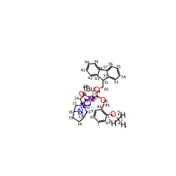 [2H]C([2H])([2H])Oc1cccc([C@@H]2[C@H](N3C4CCC3CN(C(=O)OC(C)(C)C)C4)CCN2C(=O)OCC2c3ccccc3-c3ccccc32)c1C